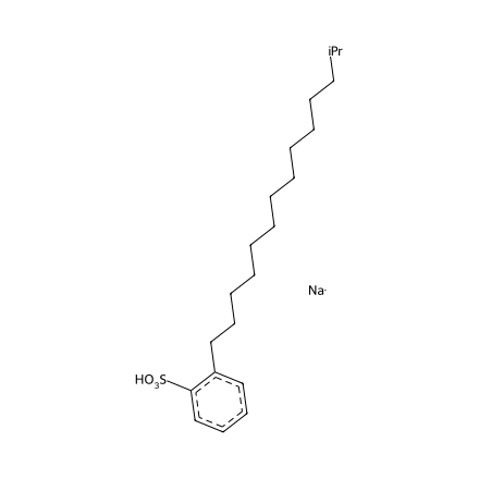 CC(C)CCCCCCCCCCCCc1ccccc1S(=O)(=O)O.[Na]